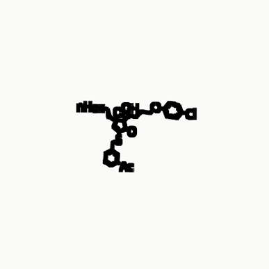 CCCCCCC=CC1(O)C=C(SCc2cccc(C(C)=O)c2)C(=O)C1C(O)CCCOc1ccc(Cl)cc1